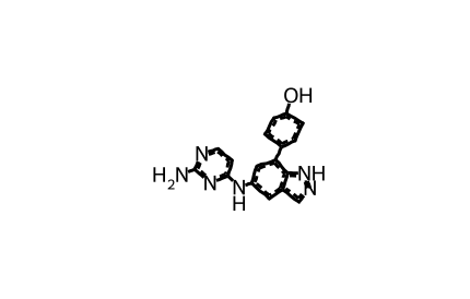 Nc1nccc(Nc2cc(-c3ccc(O)cc3)c3[nH]ncc3c2)n1